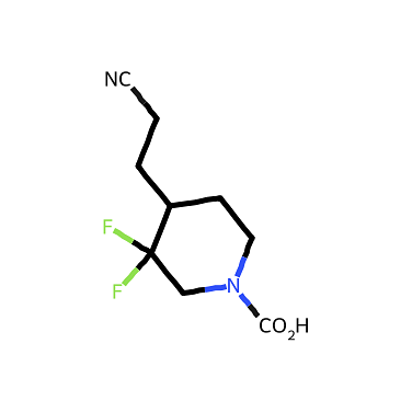 N#CCCC1CCN(C(=O)O)CC1(F)F